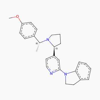 COc1ccc([C@@H](C)N2CCC[C@H]2c2ccnc(N3CCc4ccccc43)c2)cc1